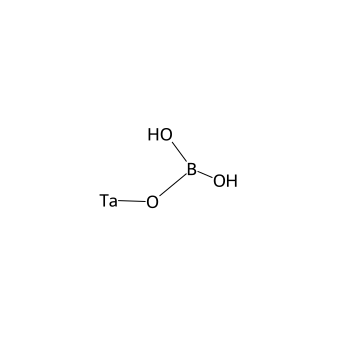 OB(O)[O][Ta]